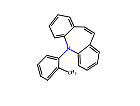 Cc1ccccc1N1c2ccccc2C=Cc2ccccc21